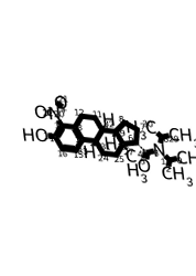 CC(C)N(C(=O)[C@H]1CC[C@H]2[C@@H]3CCc4c(ccc(O)c4[N+](=O)[O-])[C@H]3CC[C@]12C)C(C)C